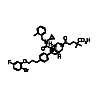 Cc1ccccc1CN(C(=O)C1=C(c2ccc(CCCOc3cc(F)ccc3Br)cc2)C[C@@H]2CN(C(=O)CCC(C)(C)C(=O)O)C[C@H]1N2)C1CC1